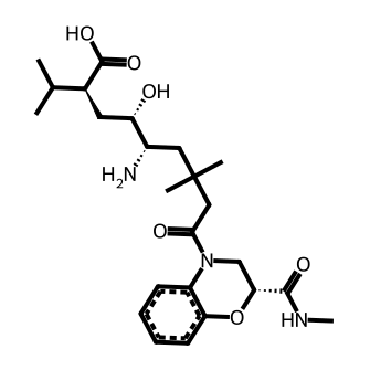 CNC(=O)[C@H]1CN(C(=O)CC(C)(C)C[C@H](N)[C@@H](O)C[C@H](C(=O)O)C(C)C)c2ccccc2O1